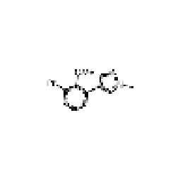 COc1c(-c2cnn(C)c2)cccc1C(C)C